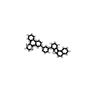 c1cc(-c2ccc3c4ccccc4c4nccnc4c3c2)cc(-c2cccc3c2oc2ccc4ccccc4c23)c1